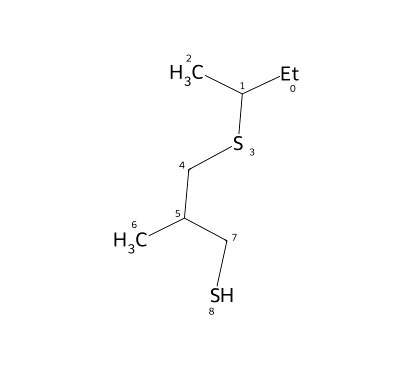 CCC(C)SCC(C)CS